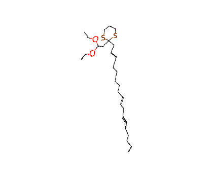 CCCCCC=CCC=CCCCCCCCCC1(CC(OCC)OCC)SCCCS1